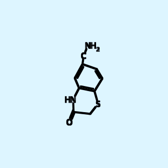 NCc1ccc2c(c1)NC(=O)CS2